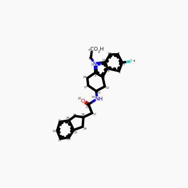 O=C(O)Cn1c2c(c3cc(F)ccc31)CC(NC(=O)CC1Cc3ccccc3C1)CC2